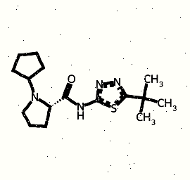 CC(C)(C)c1nnc(NC(=O)[C@@H]2CCCN2C2CCCC2)s1